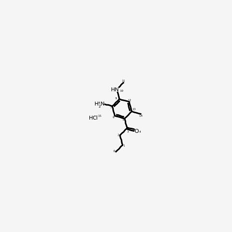 CCCC(=O)c1cc(N)c(NC)cc1C.Cl